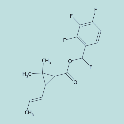 CC=CC1C(C(=O)OC(F)c2ccc(F)c(F)c2F)C1(C)C